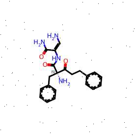 NC=C(NC(=O)[C@](N)(Cc1ccccc1)C(=O)CCc1ccccc1)C(N)=O